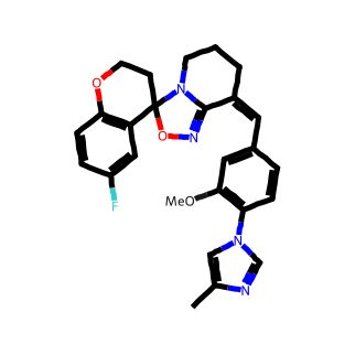 COc1cc(/C=C2/CCCN3C2=NOC32CCOc3ccc(F)cc32)ccc1-n1cnc(C)c1